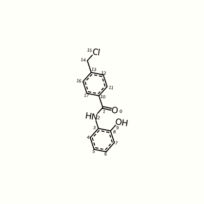 O=C(Nc1ccccc1O)c1ccc(CCl)cc1